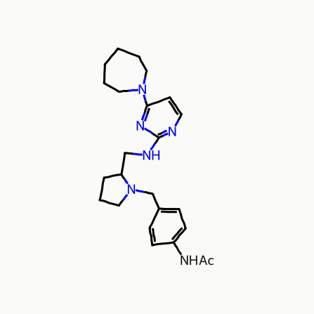 CC(=O)Nc1ccc(CN2CCCC2CNc2nccc(N3CCCCCC3)n2)cc1